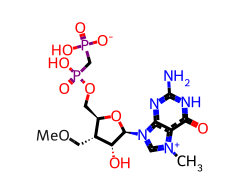 COC[C@H]1[C@@H](O)[C@H](n2c[n+](C)c3c(=O)[nH]c(N)nc32)O[C@@H]1COP(=O)(O)CP(=O)([O-])O